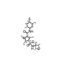 Cc1cc(NC(=O)c2c(C)c(S(=O)(=O)NC3(C)COC3)c(C)n2C)ccc1F